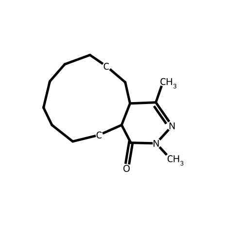 CC1=NN(C)C(=O)C2CCCCCCCCCC12